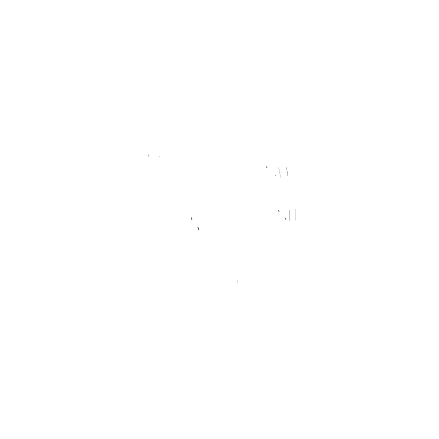 O=C1CNNC(=O)[N]1